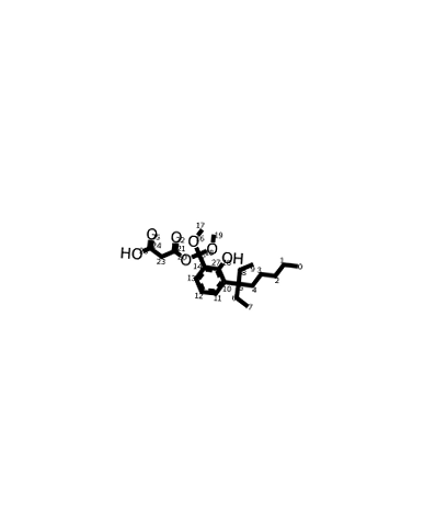 CCCCCC(CC)(CC)c1cccc(C(OC)(OC)OC(=O)CC(=O)O)c1O